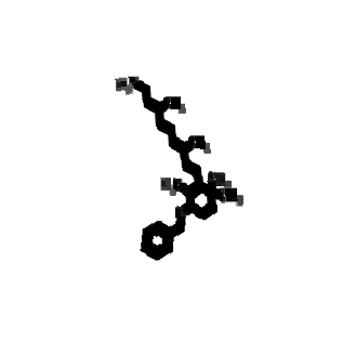 CC1=C(/C=C/C(C)=C/C=C/C(C)=C/CN)C(C)(C)CCC1OCc1ccccc1